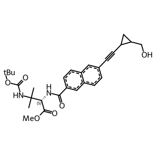 COC(=O)[C@@H](NC(=O)c1ccc2cc(C#CC3CC3CO)ccc2c1)C(C)(C)NC(=O)OC(C)(C)C